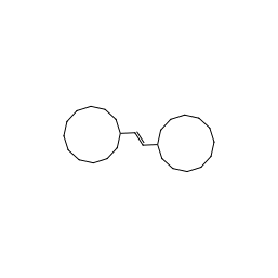 C(=CC1CCCCCCCCCCC1)C1CCCCCCCCCCC1